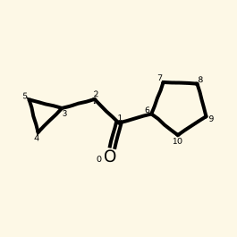 O=C([CH]C1CC1)C1CCCC1